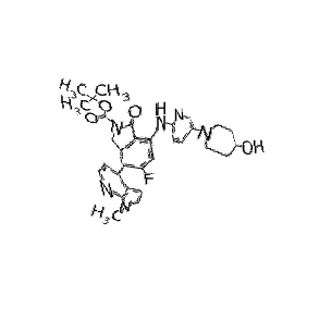 Cn1ccc2c(-c3c(F)cc(Nc4ccc(N5CCC(O)CC5)cn4)c4c3CN(C(=O)OC(C)(C)C)C4=O)ccnc21